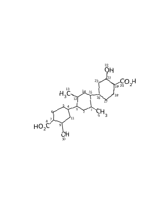 CC1CC(C2CCC(C(=O)O)C(O)C2)C(C)CC1C1CCC(C(=O)O)C(O)C1